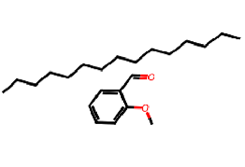 CCCCCCCCCCCCCCC.COc1ccccc1C=O